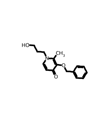 Cc1c(OCc2ccccc2)c(=O)ccn1CCCO